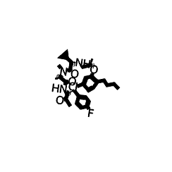 CCCCc1ccc(Cl)cc1O[C@H](C)CN[C@H](C(=O)N(C)[C@H](C)C(=O)N[C@H](Cc1ccc(F)cc1)C(C)=O)C1CC1